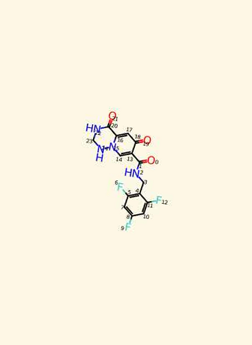 O=C(NCc1c(F)cc(F)cc1F)c1cn2c(cc1=O)C(=O)NCN2